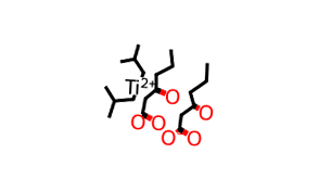 CC(C)[CH2][Ti+2][CH2]C(C)C.CCCC(=O)CC(=O)[O-].CCCC(=O)CC(=O)[O-]